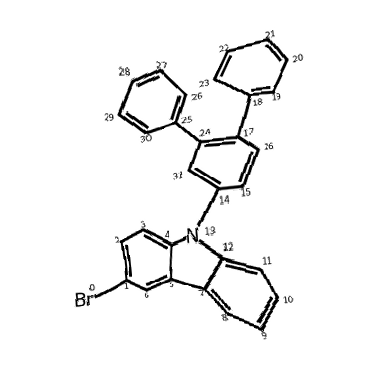 Brc1ccc2c(c1)c1ccccc1n2-c1ccc(-c2ccccc2)c(-c2ccccc2)c1